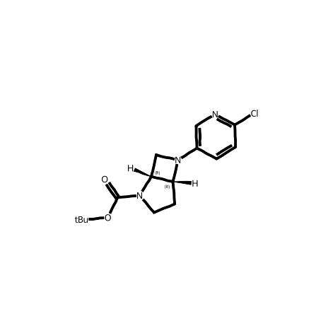 CC(C)(C)OC(=O)N1CC[C@@H]2[C@H]1CN2c1ccc(Cl)nc1